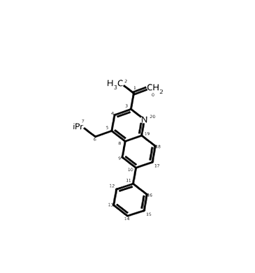 C=C(C)c1cc(CC(C)C)c2cc(-c3ccccc3)ccc2n1